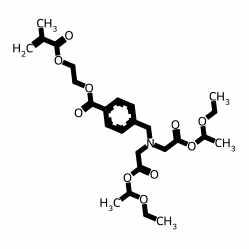 C=C(C)C(=O)OCCOC(=O)c1ccc(CN(CC(=O)OC(C)OCC)CC(=O)OC(C)OCC)cc1